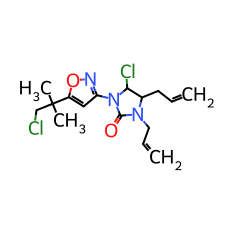 C=CCC1C(Cl)N(c2cc(C(C)(C)CCl)on2)C(=O)N1CC=C